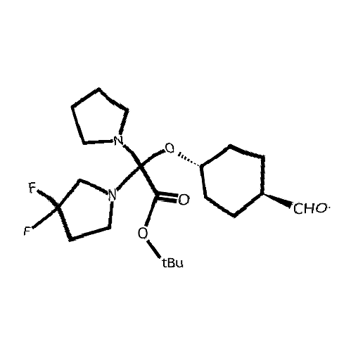 CC(C)(C)OC(=O)C(O[C@H]1CC[C@H]([C]=O)CC1)(N1CCCC1)N1CCC(F)(F)C1